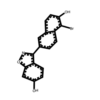 Oc1ccc2c(-c3ccc4c(Br)c(O)ccc4c3)noc2c1